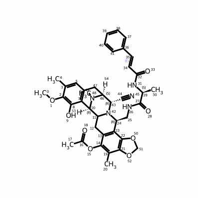 COc1c(C)cc2c(c1O)[C@@H]1C3Cc4c(OC(C)=O)c(C)c5c(c4[C@H](CNC(=O)[C@H](C)NC(=O)/C=C/c4ccccc4)N3[C@@H](C#N)[C@H](C2)N1C)OCO5